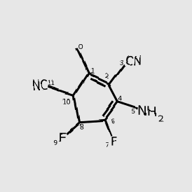 CC1=C(C#N)C(N)=C(F)C(F)C1C#N